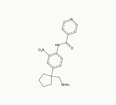 CC(=O)NCC1(c2ccc(NC(=O)c3ccncc3)c([N+](=O)[O-])c2)CCCC1